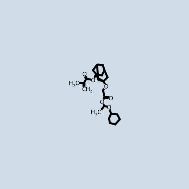 C=C(C)C(=O)OC12CC3CC(CC(OCC(=O)OC(C)OC4CCCCC4)(C3)C1)C2